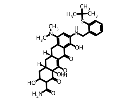 CN(C)c1cc(NCc2ccccc2SC(C)(C)C)c(O)c2c1C[C@H]1C[C@H]3CC(O)C(C(N)=O)C(=O)[C@@]3(O)C(O)=C1C2=O